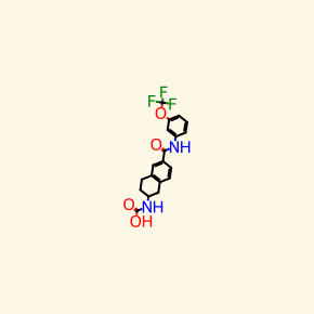 O=C(O)NC1CCc2cc(C(=O)Nc3cccc(OC(F)(F)F)c3)ccc2C1